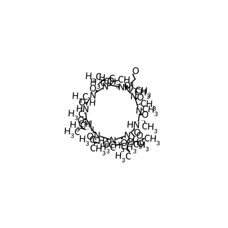 C/C=C/C[C@@H](C)[C@@H](OC(C)=O)[C@H]1C(=O)N[C@@H](CC)C(=O)N(C)[C@H](C)C(=O)N(C)[C@@H]([C@H](C)CCC=O)C(=O)N[C@@H](C(C)C)C(=O)N(C)[C@@H](CC(C)C)C(=O)N[C@@H](C)C(=O)N[C@H](C)C(=O)N(C)[C@@H](CC(C)C)C(=O)N(C)[C@@H](CC(C)C)C(=O)N(C)[C@@H](C(C)C)C(=O)N1C